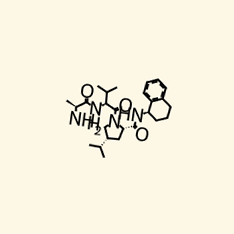 CC(C)[C@H]1C[C@@H](C(=O)N[C@@H]2CCCc3ccccc32)N(C(=O)[C@@H](NC(=O)[C@H](C)N)C(C)C)C1